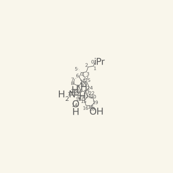 CC(C)CCC[C@@H](C)[C@H]1CC[C@H]2[C@@H]3C(N)C(O)C4CC(O)CC[C@]4(C)[C@H]3CC[C@]12C